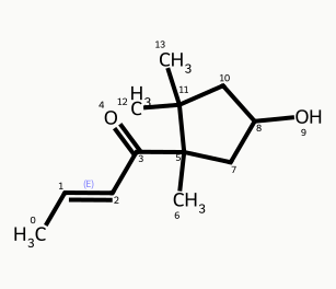 C/C=C/C(=O)C1(C)CC(O)CC1(C)C